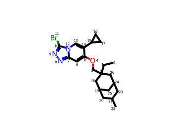 CCC1(COc2cc3nnc(Br)n3cc2C2CC2)CC2CC(C)CC(C2)C1